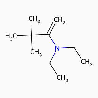 C=C(N(CC)CC)C(C)(C)C